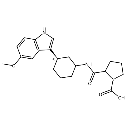 COc1ccc2[nH]cc([C@@H]3CCCC(NC(=O)C4CCCN4C(=O)O)C3)c2c1